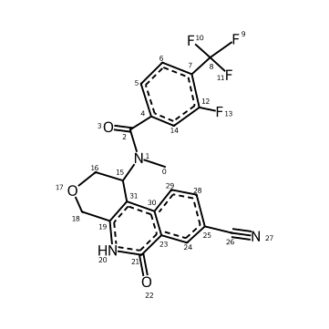 CN(C(=O)c1ccc(C(F)(F)F)c(F)c1)C1COCc2[nH]c(=O)c3cc(C#N)ccc3c21